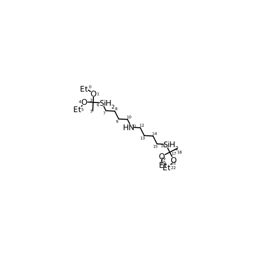 CCOC(C)(OCC)[SiH2]CCCCNCCCC[SiH2]C(C)(OCC)OCC